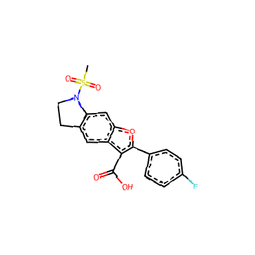 CS(=O)(=O)N1CCc2cc3c(C(=O)O)c(-c4ccc(F)cc4)oc3cc21